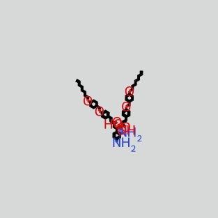 C=CCCCCCCOC1CCC(COc2ccc(C=CC(=O)CC(c3ccc(N)cc3N)C(O)(O)C(=O)C=Cc3ccc(OCC4CCC(OCCCCCCC=C)CC4)cc3)cc2)CC1